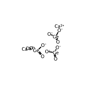 [Ca+2].[Ca+2].[Ca+2].[O]=[Ge]([O-])[O-].[O]=[Ge]([O-])[O-].[O]=[Ge]([O-])[O-]